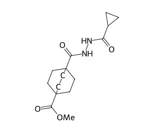 COC(=O)C12CCC(C(=O)NNC(=O)C3CC3)(CC1)CC2